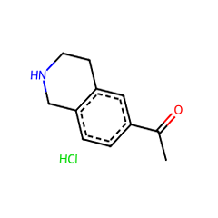 CC(=O)c1ccc2c(c1)CCNC2.Cl